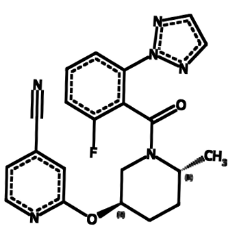 C[C@@H]1CC[C@@H](Oc2cc(C#N)ccn2)CN1C(=O)c1c(F)cccc1-n1nccn1